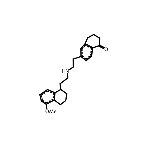 COc1cccc2c1CCCC2CCNCCc1ccc2c(c1)CCCC2=O